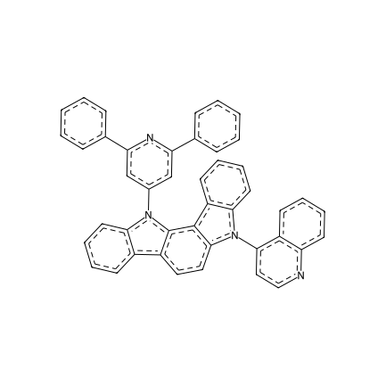 c1ccc(-c2cc(-n3c4ccccc4c4ccc5c(c6ccccc6n5-c5ccnc6ccccc56)c43)cc(-c3ccccc3)n2)cc1